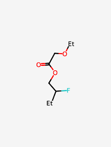 CCOCC(=O)OCC(F)CC